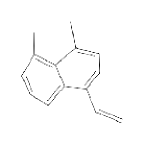 C=Cc1ccc(C)c2c(C)cccc12